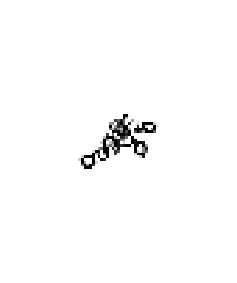 CC[C@H]1O[C@@H](c2ccc(OCc3ccccc3)nc2F)[C@@H](OCc2ccccc2)C1OCc1ccccc1